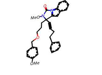 COc1ccc(COCCCC2(C#CCCc3ccccc3)c3cc4ccccc4n3C(=O)N2OC)cc1